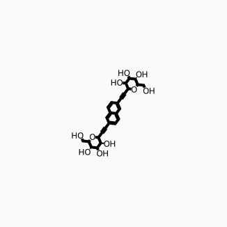 OCC1OC(C#Cc2ccc3cc(C#CC4OC(CO)[C@@H](O)C(O)[C@@H]4O)ccc3c2)C(O)C(O)[C@@H]1O